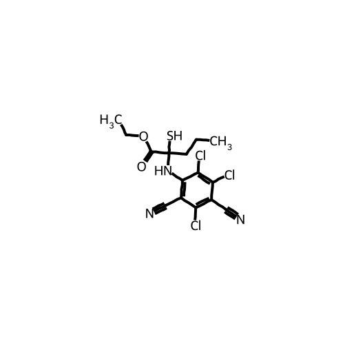 CCCC(S)(Nc1c(Cl)c(Cl)c(C#N)c(Cl)c1C#N)C(=O)OCC